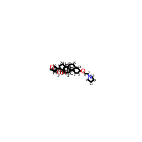 C[C@]12CCC(OCCN3CCCC3)C=C1CC[C@@H]1[C@H]2CC[C@@]2(C)[C@H]1CCC2(O)c1ccoc1